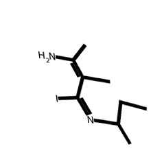 CCC(C)/N=C(I)\C(C)=C(\C)N